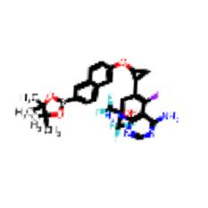 CC1(C)OB(c2ccc3cc(OC4CC4/C(CC(O)(C(F)(F)F)C(F)(F)F)=C(\I)c4c(N)ncnc4N)ccc3c2)OC1(C)C